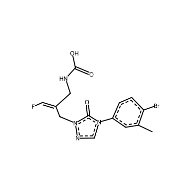 Cc1cc(-n2cnn(C/C(=C\F)CNC(=O)O)c2=O)ccc1Br